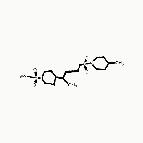 CCCS(=O)(=O)N1CCC(C(C)CCCS(=O)(=O)N2CCC(C)CC2)CC1